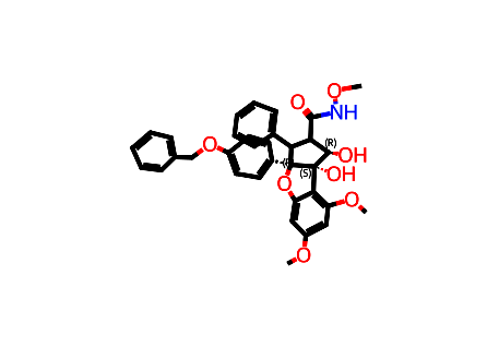 CONC(=O)C1C(c2ccccc2)[C@]2(c3ccc(OCc4ccccc4)cc3)Oc3cc(OC)cc(OC)c3[C@]2(O)[C@@H]1O